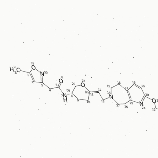 Cc1cc(CC(=O)N[C@H]2CC[C@H](CCN3CCc4ccc(OCC(F)(F)F)nc4CC3)OC2)no1